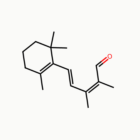 CC(C=O)=C(C)C=CC1=C(C)CCCC1(C)C